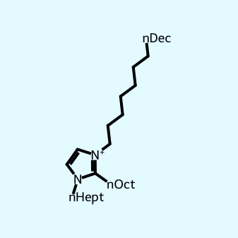 CCCCCCCCCCCCCCCCC[n+]1ccn(CCCCCCC)c1CCCCCCCC